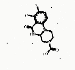 O=C1NC2CN(C(=O)O)CCN2c2ccc(F)c(Cl)c21